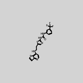 O=C(Nc1cccc(C(F)(F)F)c1)Nc1ncc(CCNc2ccnc3ccsc23)s1